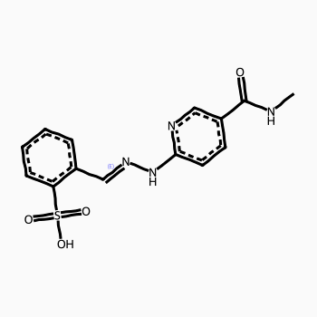 CNC(=O)c1ccc(N/N=C/c2ccccc2S(=O)(=O)O)nc1